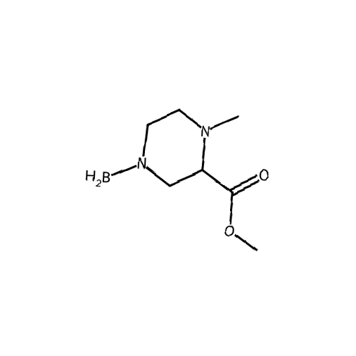 BN1CCN(C)C(C(=O)OC)C1